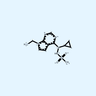 CCn1ccc2c(N(NS(C)(=O)=O)C3CC3)ncnc21